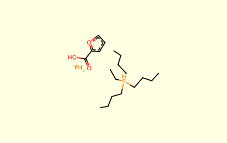 CCCC[PH](CC)(CCCC)CCCC.O=C(O)c1ccco1.P